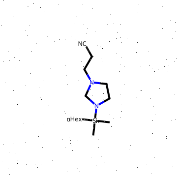 CCCCCC[Si](C)(C)N1CCN(CCC#N)C1